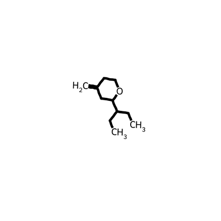 C=C1CCOC(C(CC)CC)C1